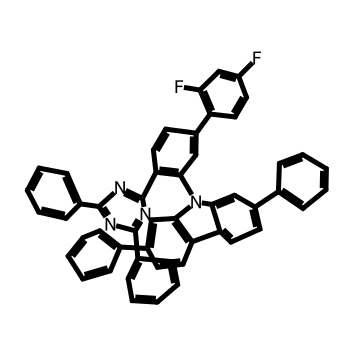 Fc1ccc(-c2ccc(-c3nc(-c4ccccc4)nc(-c4ccccc4)n3)c(-n3c4cc(-c5ccccc5)ccc4c4ccc(-c5ccccc5)cc43)c2)c(F)c1